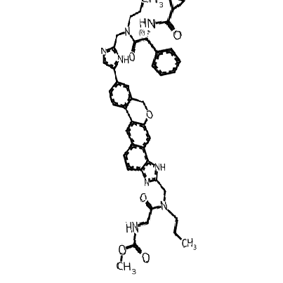 CCCN(Cc1nc2ccc3cc4c(cc3c2[nH]1)OCc1cc(-c2cnc(CN(CCC)C(=O)[C@H](NC(=O)C3CC3)c3ccccc3)[nH]2)ccc1-4)C(=O)CNC(=O)OC